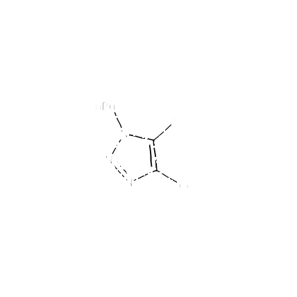 CCCCn1nnc(C(Cl)(Cl)Cl)c1C(F)(F)F